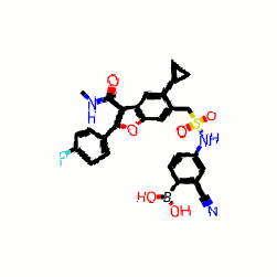 CNC(=O)c1c(-c2ccc(F)cc2)oc2cc(CS(=O)(=O)Nc3ccc(B(O)O)c(C#N)c3)c(C3CC3)cc12